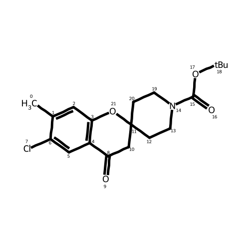 Cc1cc2c(cc1Cl)C(=O)CC1(CCN(C(=O)OC(C)(C)C)CC1)O2